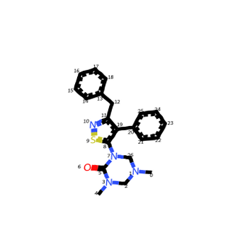 CN1CN(C)C(=O)N(c2snc(Cc3ccccc3)c2-c2ccccc2)C1